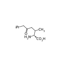 CC(C)CC(=O)CC(C)[C@H](N)C(=O)O